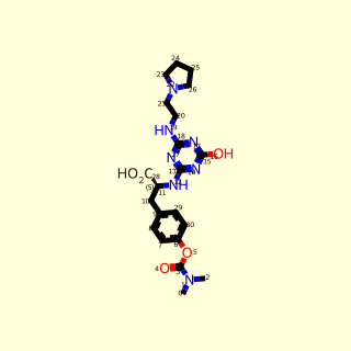 CN(C)C(=O)Oc1ccc(C[C@H](Nc2nc(O)nc(NCCN3CCCC3)n2)C(=O)O)cc1